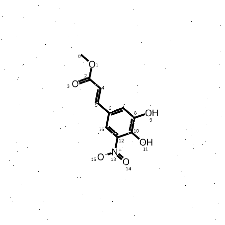 COC(=O)C=Cc1cc(O)c(O)c([N+](=O)[O-])c1